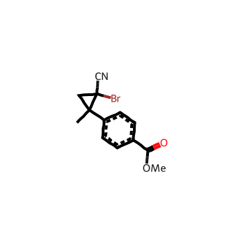 COC(=O)c1ccc(C2(C)CC2(Br)C#N)cc1